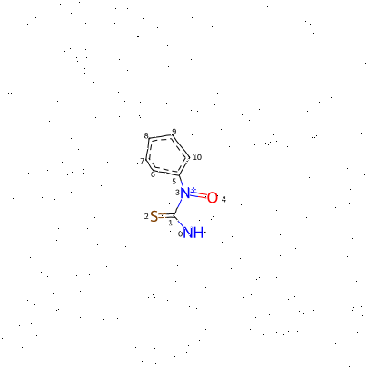 [NH]C(=S)[N+](=O)c1ccccc1